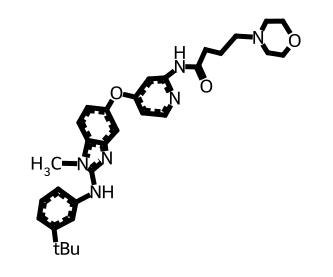 Cn1c(Nc2cccc(C(C)(C)C)c2)nc2cc(Oc3ccnc(NC(=O)CCCN4CCOCC4)c3)ccc21